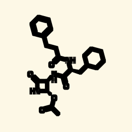 CC(=O)O[C@@H]1NC(=O)[C@H]1NC(=O)[C@H](CC1CCCCC1)NC(=O)CCc1ccccc1